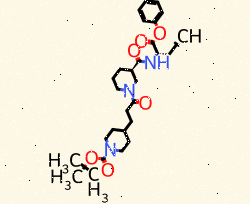 C#CC[C@H](NC(=O)[C@@H]1CCCN(C(=O)CCC2CCN(C(=O)OC(C)(C)C)CC2)C1)C(=O)Oc1ccccc1